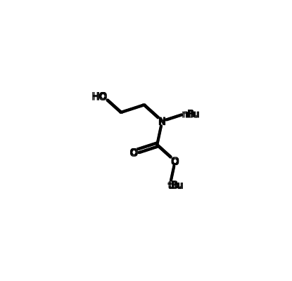 CCCCN(CCO)C(=O)OC(C)(C)C